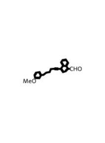 COc1cccc(CCCCC#Cc2ccc(C=O)c3ccccc23)c1